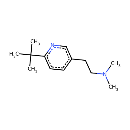 CN(C)CCc1ccc(C(C)(C)C)nc1